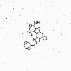 O=C(O)c1oc2c(c1C(F)(F)F)-c1nn(CC3COCCO3)cc1C1(CCC1)C2